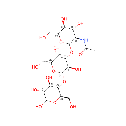 CC(=O)N[C@H]1C(O[C@H]2[C@@H](O)[C@@H](CO)O[C@@H](O[C@H]3[C@H](O)[C@@H](O)C(O)O[C@@H]3CO)[C@@H]2O)O[C@H](CO)[C@@H](O)[C@@H]1O